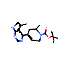 Cc1c[nH]c2ncnc(C3=CCN(C(=O)OC(C)(C)C)C(C)C3)c12